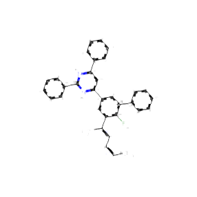 C/C=C\C=C(/C)c1cc(-c2cc(-c3ccccc3)nc(-c3ccccc3)n2)cc(-c2ccccc2)c1F